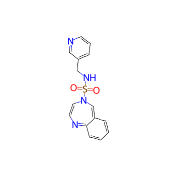 O=S(=O)(NCc1cccnc1)N1C=CN=c2ccccc2=C1